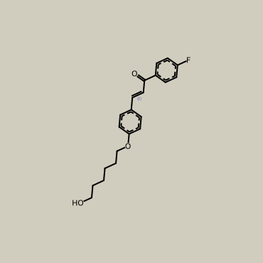 O=C(/C=C/c1ccc(OCCCCCCO)cc1)c1ccc(F)cc1